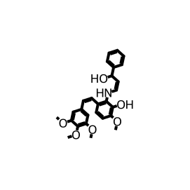 COc1ccc(/C=C\c2cc(OC)c(OC)c(OC)c2)c(N/C=C\C(O)c2ccccc2)c1O